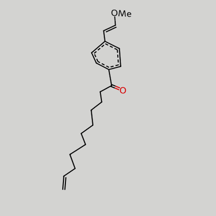 C=CCCCCCCCCC(=O)c1ccc(/C=C/OC)cc1